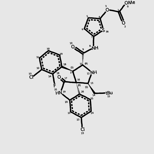 COC(=O)Oc1ccc(NC(=O)[C@@H]2N[C@@H](CC(C)(C)C)[C@@]3(C(=O)Nc4cc(Cl)ccc43)[C@H]2c2cccc(Cl)c2F)s1